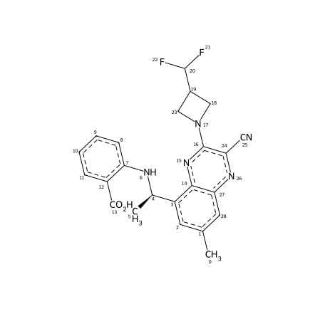 Cc1cc([C@@H](C)Nc2ccccc2C(=O)O)c2nc(N3CC(C(F)F)C3)c(C#N)nc2c1